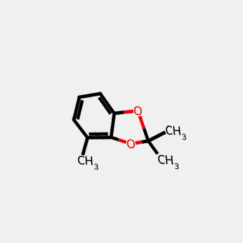 Cc1cccc2c1OC(C)(C)O2